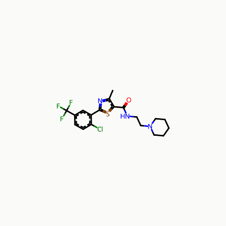 Cc1nc(-c2cc(C(F)(F)F)ccc2Cl)sc1C(=O)NCCN1CCCCC1